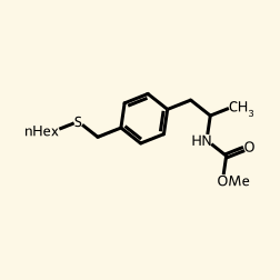 CCCCCCSCc1ccc(CC(C)NC(=O)OC)cc1